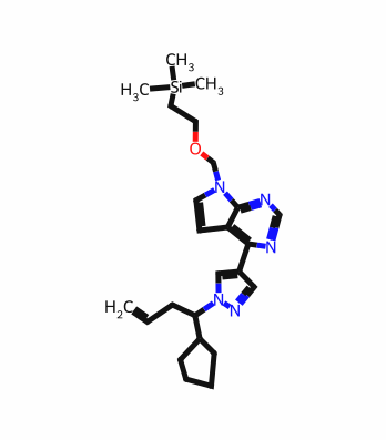 C=CCC(C1CCCC1)n1cc(-c2ncnc3c2ccn3COCC[Si](C)(C)C)cn1